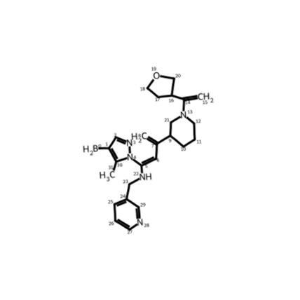 Bc1cnn(/C(=C\C(=C)C2CCCN(C(=C)C3CCOC3)C2)NCc2cccnc2)c1C